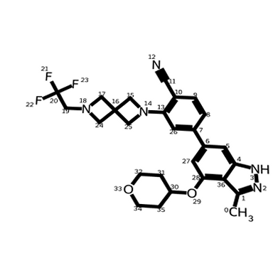 Cc1n[nH]c2cc(-c3ccc(C#N)c(N4CC5(CN(CC(F)(F)F)C5)C4)c3)cc(OC3CCOCC3)c12